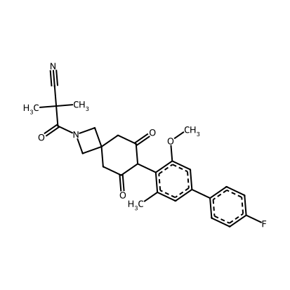 COc1cc(-c2ccc(F)cc2)cc(C)c1C1C(=O)CC2(CC1=O)CN(C(=O)C(C)(C)C#N)C2